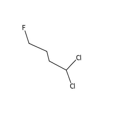 FCCCC(Cl)Cl